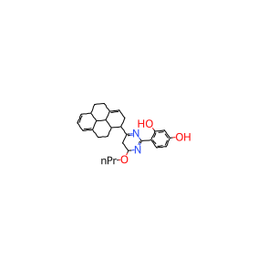 CCCOC1CC(C2CC=C3CCC4C=CC=C5CCC2C3C54)=NC(c2ccc(O)cc2O)=N1